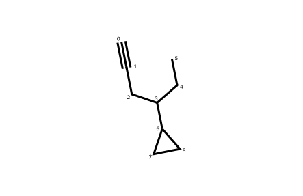 C#CCC(CC)C1[CH]C1